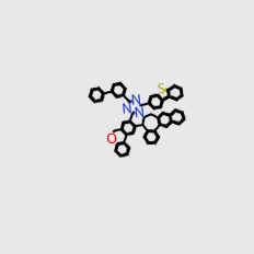 c1ccc(-c2cccc(-c3nc(-c4ccc5c(c4)sc4ccccc45)nc(-c4cc5c(cc4C4CCc6cc7ccccc7cc6-c6ccccc64)-c4ccccc4OC5)n3)c2)cc1